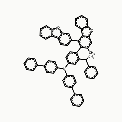 Cc1cc2oc3ccccc3c2c(-c2ccc3c(c2)oc2ccccc23)c1-c1ccc(N(c2ccc(-c3ccccc3)cc2)c2ccc(-c3ccccc3)cc2)cc1C(C)c1ccccc1